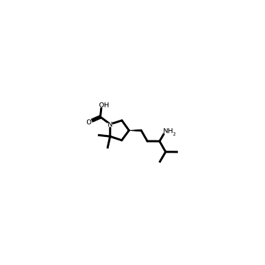 CC(C)C(N)CC[C@@H]1CN(C(=O)O)C(C)(C)C1